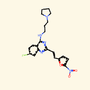 O=[N+]([O-])c1ccc(C=Cc2nc(NCCCN3CCCC3)c3ccc(F)cc3n2)o1